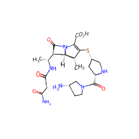 C[C@@H](NC(=O)CC(N)=O)[C@H]1C(=O)N2C(C(=O)O)=C(S[C@@H]3CN[C@H](C(=O)N4CC[C@H](N)C4)C3)[C@H](C)[C@@H]12